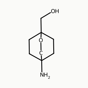 NC12CCC(CO)(CC1)OC2